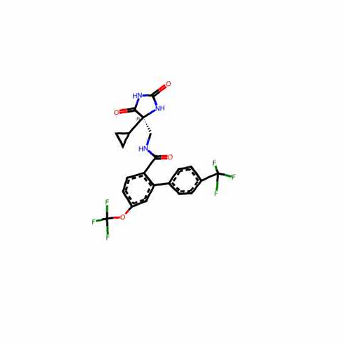 O=C1NC(=O)[C@](CNC(=O)c2ccc(OC(F)(F)F)cc2-c2ccc(C(F)(F)F)cc2)(C2CC2)N1